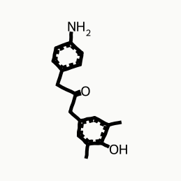 Cc1cc(CC(=O)Cc2ccc(N)cc2)cc(C)c1O